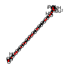 CCCCc1nc2c(N)nnc(OC(C)C)c2n1C[C@H]1CC[C@H](CNC(=O)CCOCCOCCOCCOCCOCCOCCOCCOCCOCCOCCOCCOCCOCCOCCOCCOCCOCCOCCOCCOCCOCCOCCOCCOCCNC(=O)CCN2C(=O)C=CC2=O)CC1